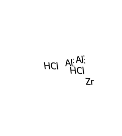 Cl.Cl.[Al].[Al].[Zr]